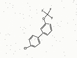 FC(F)(F)Oc1cccc(-c2c[c]c(Cl)cc2)c1